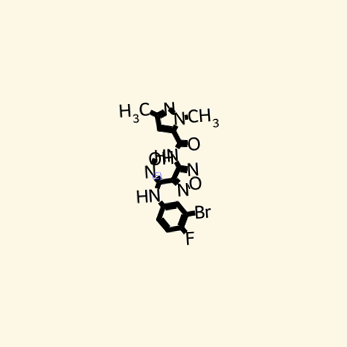 Cc1cc(C(=O)Nc2nonc2/C(=N\O)Nc2ccc(F)c(Br)c2)n(C)n1